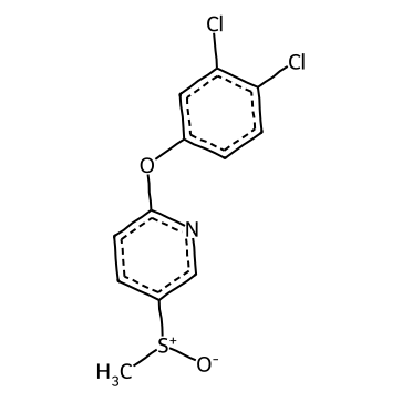 C[S+]([O-])c1ccc(Oc2ccc(Cl)c(Cl)c2)nc1